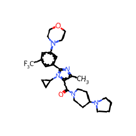 Cc1nc(-c2cc(N3CCOCC3)cc(C(F)(F)F)c2)n(C2CC2)c1C(=O)N1CCC(N2CCCC2)CC1